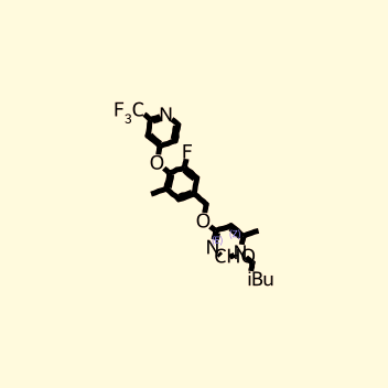 CCC(C)CN(C)/C(C)=C\C(=N/C=O)OCc1cc(C)c(Oc2ccnc(C(F)(F)F)c2)c(F)c1